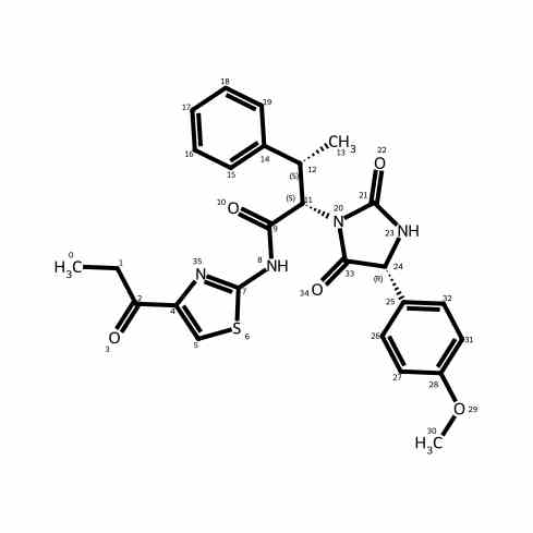 CCC(=O)c1csc(NC(=O)[C@H]([C@@H](C)c2ccccc2)N2C(=O)N[C@H](c3ccc(OC)cc3)C2=O)n1